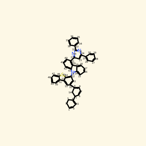 C1=CCCC(C2C=CC=C(c3cc(-n4c5ccccc5c5c(-c6cc(-c7ccccc7)nc(-c7ccccc7)n6)cccc54)c4sc5ccccc5c4c3)C2)=C1